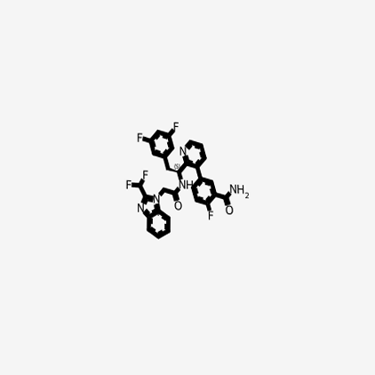 NC(=O)c1cc(-c2cccnc2[C@H](Cc2cc(F)cc(F)c2)NC(=O)Cn2c(C(F)F)nc3ccccc32)ccc1F